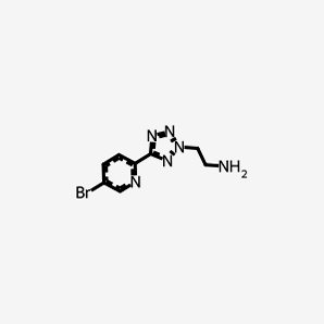 NCCn1nnc(-c2ccc(Br)cn2)n1